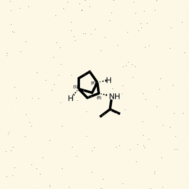 CC(C)N[C@@H]1C[C@H]2CC[C@@H]1C2